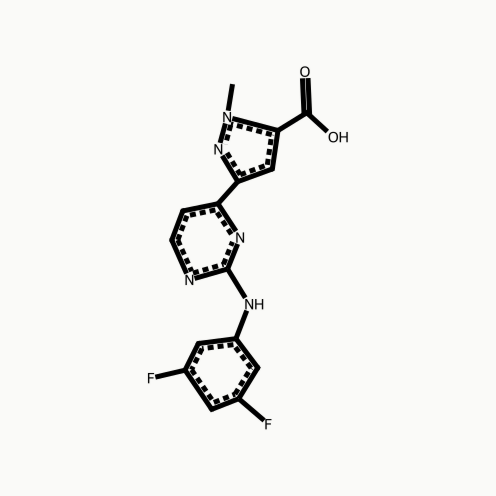 Cn1nc(-c2ccnc(Nc3cc(F)cc(F)c3)n2)cc1C(=O)O